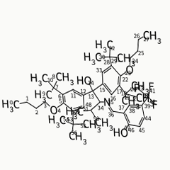 CCCCOc1c(C(C)(C)C)cc(C(O)(c2cc(C(C)(C)C)c(OCCCC)c(C(C)(C)C)c2)C(N=Cc2cc(C(F)(F)F)ccc2O)C(C)C)cc1C(C)(C)C